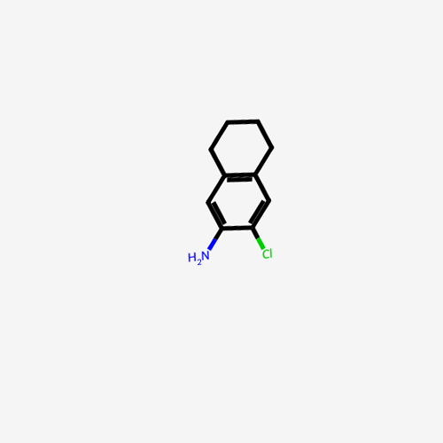 Nc1cc2c(cc1Cl)CCCC2